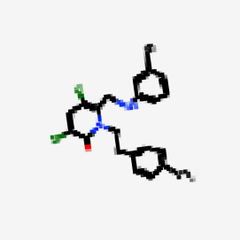 CC(C)(C)c1cccc(NCc2c(Cl)cc(Cl)c(=O)n2CCc2ccc(C(=O)O)cc2)c1